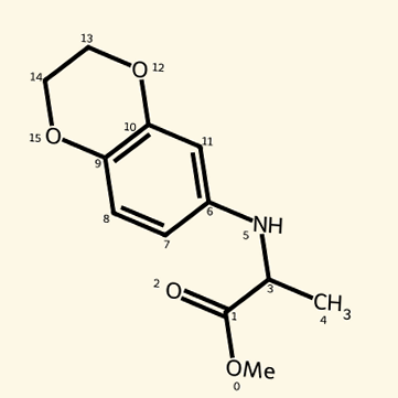 COC(=O)C(C)Nc1ccc2c(c1)OCCO2